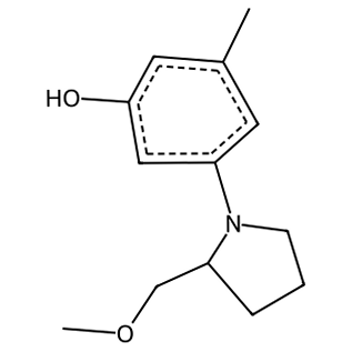 COCC1CCCN1c1cc(C)cc(O)c1